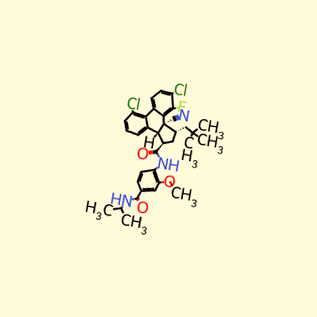 COc1cc(C(=O)NC(C)C)ccc1NC(=O)[C@@H]1C[C@@H](CC(C)(C)C)[C@]2(C#N)c3c(ccc(Cl)c3F)-c3c(Cl)cccc3[C@@H]12